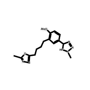 COc1ccc(C2N=NN(C)N2)cc1CCCCc1nnc(C)o1